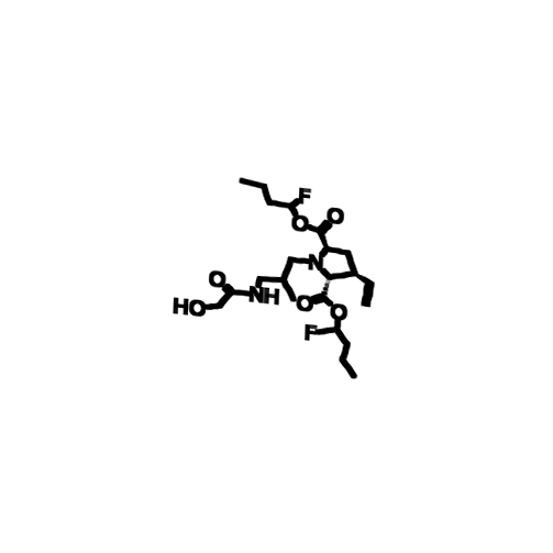 C=C[C@@H]1C[C@H](C(=O)OC(F)CCC)N(CC(C)CNC(=O)CO)[C@H]1C(=O)OC(F)CCC